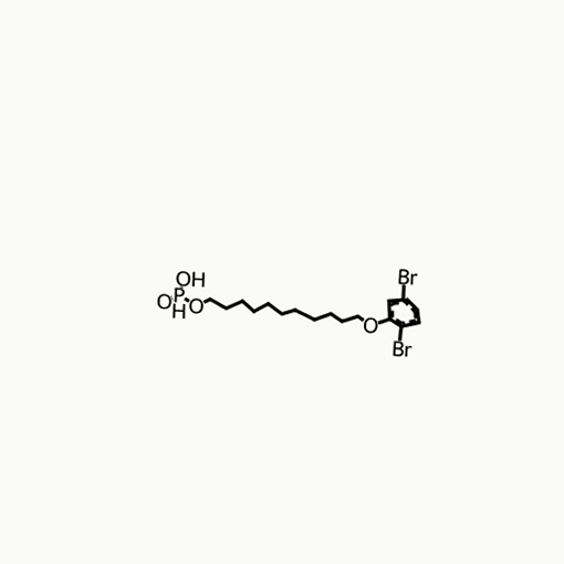 O=[PH](O)OCCCCCCCCCCCOc1cc(Br)ccc1Br